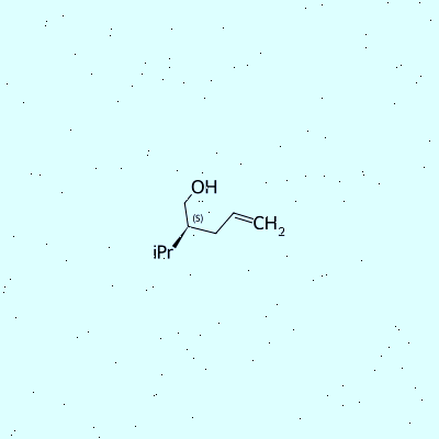 C=CC[C@H](CO)C(C)C